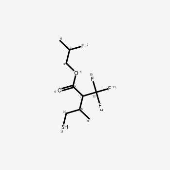 CC(F)COC(=O)C(C(C)CS)C(F)(F)F